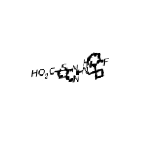 O=C(O)c1cc2cnc(NCC3(c4ncccc4F)CCC3)nc2s1